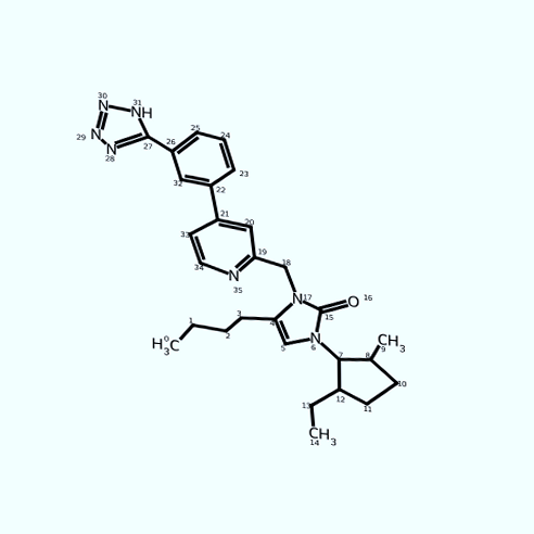 CCCCc1cn(C2C(C)CCC2CC)c(=O)n1Cc1cc(-c2cccc(-c3nnn[nH]3)c2)ccn1